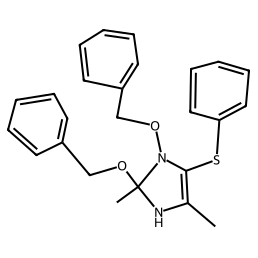 CC1=C(Sc2ccccc2)N(OCc2ccccc2)C(C)(OCc2ccccc2)N1